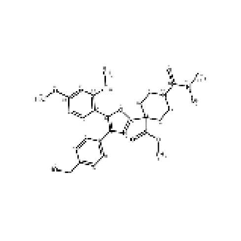 COC(=O)C1(c2nc(-c3ccc(CO)cc3)c(-c3ccc(OC)cc3OC)o2)CCN(C(=O)N(C)O)CC1